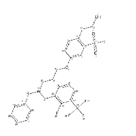 CS(=O)(=O)c1cc(OCCCN(Cc2ccccc2)Cc2cccc(C(F)(F)F)c2F)ccc1CCO